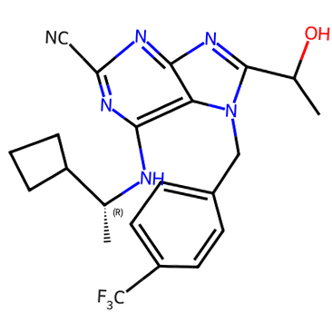 CC(O)c1nc2nc(C#N)nc(N[C@H](C)C3CCC3)c2n1Cc1ccc(C(F)(F)F)cc1